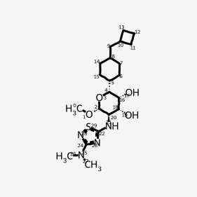 CO[C@@H]1O[C@H](C2CCC(CC3CCC3)CC2)[C@H](O)[C@H](O)[C@H]1Nc1nc(N(C)C)ns1